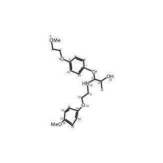 COCCOc1ccc(OC(NCCOc2ccc(OC)cc2)C(C)O)cc1